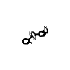 Cc1ccccc1C1=NCC(c2ccc3c(c2)N=CC3)=N1